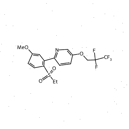 CCS(=O)(=O)c1ccc(OC)cc1-c1ccc(OCC(F)(F)C(F)(F)F)cn1